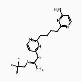 NC(=NCC(F)(F)F)Nc1ccnc(CCCCc2nccc(N)n2)n1